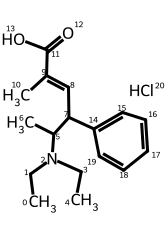 CCN(CC)C(C)C(C=C(C)C(=O)O)c1ccccc1.Cl